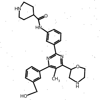 Cc1c(-c2cccc(CO)c2)nc(-c2cccc(NC(=O)C3CCNCC3)c2)nc1C1CNCCO1